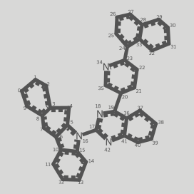 c1ccc2cc3c(cc2c1)c1ccccc1n3-c1nc(-c2ccc(-c3cccc4ccccc34)nc2)c2ccccc2n1